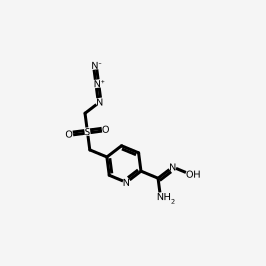 [N-]=[N+]=NCS(=O)(=O)Cc1ccc(/C(N)=N/O)nc1